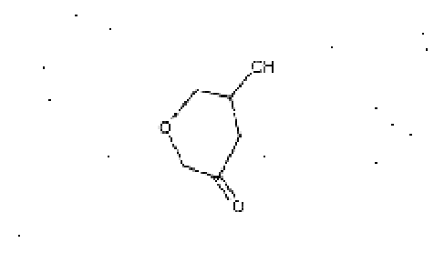 O=C1COCC(O)C1